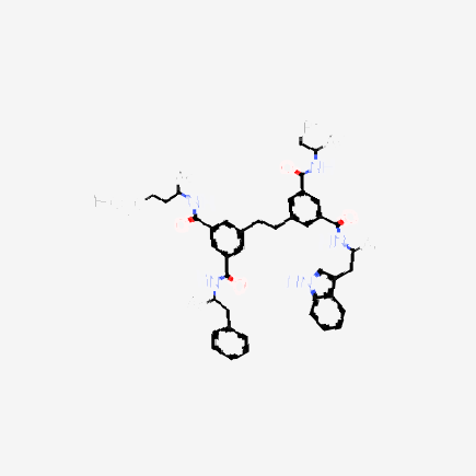 CC(=O)C(CCC(=O)O)NC(=O)c1cc(CCc2cc(C(=O)NC(Cc3c[nH]c4ccccc34)C(C)=O)cc(C(=O)NC(CC(C)C)C(C)=O)c2)cc(C(=O)NC(Cc2ccccc2)C(C)=O)c1